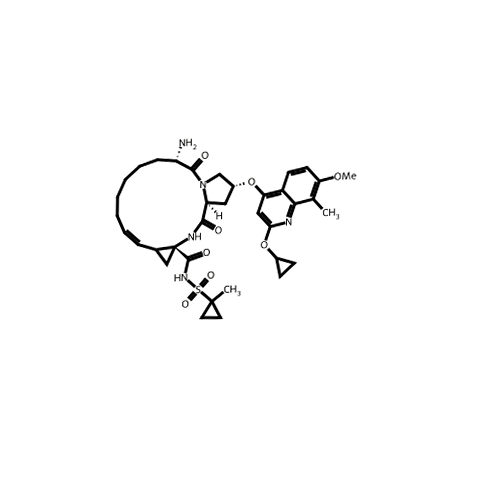 COc1ccc2c(O[C@@H]3C[C@H]4C(=O)N[C@]5(C(=O)NS(=O)(=O)C6(C)CC6)CC5/C=C\CCCCC[C@H](N)C(=O)N4C3)cc(OC3CC3)nc2c1C